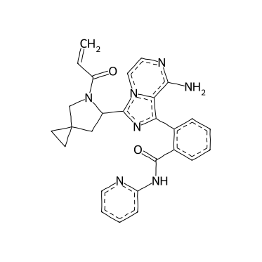 C=CC(=O)N1CC2(CC2)CC1c1nc(-c2ccccc2C(=O)Nc2ccccn2)c2c(N)nccn12